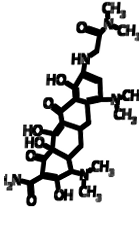 CN(C)C(=O)CNc1cc(N(C)C)c2c(c1O)C(=O)C1=C(O)C3(O)C(=O)C(C(N)=O)=C(O)C(N(C)C)C3CC1C2